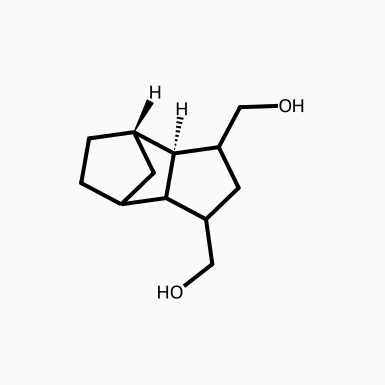 OCC1CC(CO)[C@H]2C1C1CC[C@H]2C1